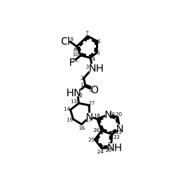 O=C(CNc1cccc(Cl)c1F)NC1CCCN(c2ncnc3[nH]ccc23)C1